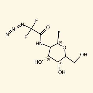 C[C@H]1OC(CO)[C@H](O)[C@H](O)C1NC(=O)C(F)(F)N=[N+]=[N-]